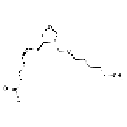 CCCCCCOC[C@H]1COC[C@@H]1C/C=C\CCCC(=O)O